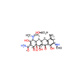 CN(C)[C@@H]1C(O)=C(C(N)=O)C(=O)[C@@]2(O)C(O)=C3C(=O)c4c(O)c(NC=O)cc([N+](=O)[O-])c4CC3CC12.O=S(=O)(O)O